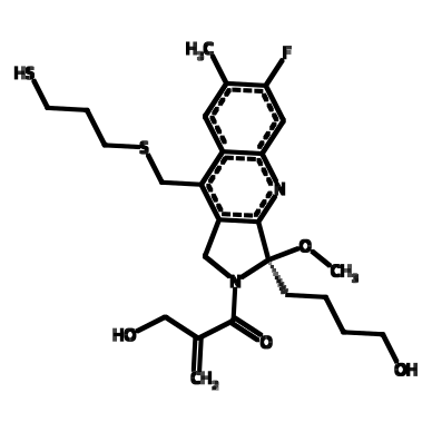 C=C(CO)C(=O)N1Cc2c(nc3cc(F)c(C)cc3c2CSCCCS)[C@@]1(CCCCO)OC